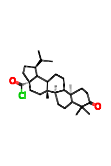 CC(C)[C@@H]1CC[C@]2(C(=O)Cl)CC[C@]3(C)C(CCC4[C@@]5(C)CCC(=O)C(C)(C)C5CC[C@]43C)C12